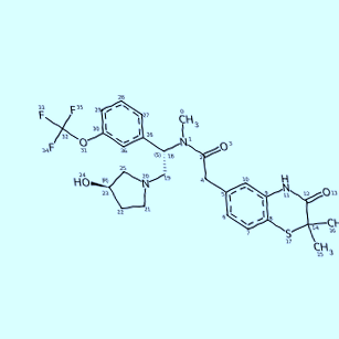 CN(C(=O)Cc1ccc2c(c1)NC(=O)C(C)(C)S2)[C@H](CN1CC[C@@H](O)C1)c1cccc(OC(F)(F)F)c1